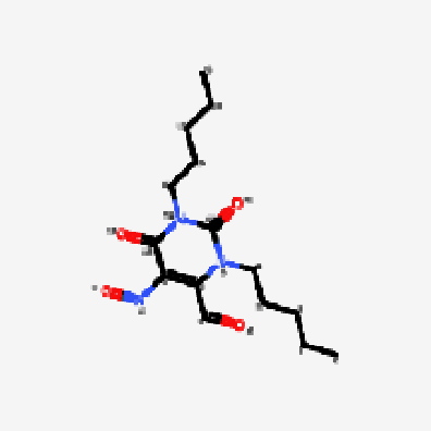 CCCCCn1c(C=O)c(N=O)c(=O)n(CCCCC)c1=O